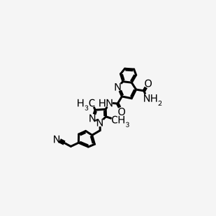 Cc1nn(Cc2ccc(CC#N)cc2)c(C)c1NC(=O)c1cc(C(N)=O)c2ccccc2n1